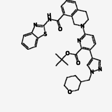 CC(C)(C)OC(=O)c1nc(N2CCc3cccc(C(=O)Nc4nc5ccccc5s4)c3C2)ccc1-c1cnn(CC2CCCOC2)c1